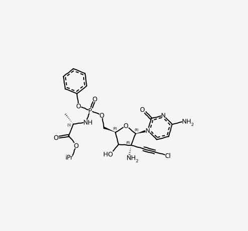 CC(C)OC(=O)[C@H](C)NP(=O)(OC[C@H]1O[C@@H](n2ccc(N)nc2=O)[C@@](N)(C#CCl)C1O)Oc1ccccc1